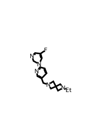 CCN1CC2(C1)CN(Cc1ccc(N3C=C(F)C=NC3)nc1)C2